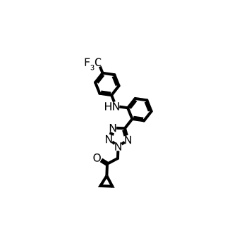 O=C(Cn1nnc(-c2ccccc2Nc2ccc(C(F)(F)F)cc2)n1)C1CC1